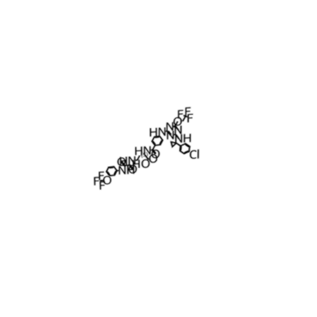 O=C(NCC[C@H](NC(=O)c1ccc(Nc2nc(NC3(c4ccc(Cl)cc4)CC3)nc(OCC(F)(F)F)n2)cc1)C(=O)O)C(=O)Nc1cccc(OC(F)(F)F)c1